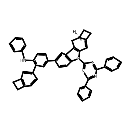 C1=C2CC[C@@H]2Cc2c1n(-c1nc(-c3ccccc3)nc(-c3ccccc3)n1)c1ccc(-c3ccc(Nc4ccccc4)c(-c4ccc5c(c4)CC5)c3)cc21